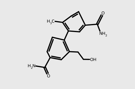 Cc1ccc(C(N)=O)cc1-c1ccc(C(N)=O)cc1CCO